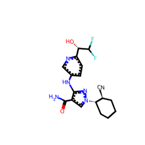 N#C[C@H]1CCCC[C@@H]1n1cc(C(N)=O)c(Nc2ccc([C@H](O)C(F)F)nc2)n1